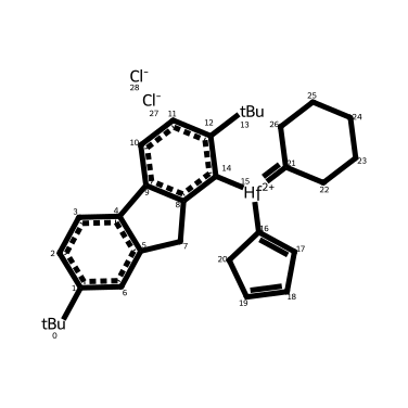 CC(C)(C)c1ccc2c(c1)Cc1c-2ccc(C(C)(C)C)[c]1[Hf+2]([C]1=CC=CC1)=[C]1CCCCC1.[Cl-].[Cl-]